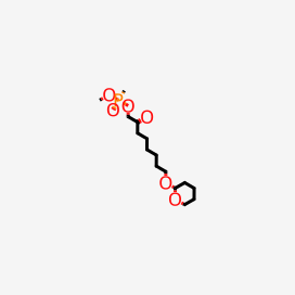 COP(C)(=O)OCC(=O)CCCCCCOC1CCCCO1